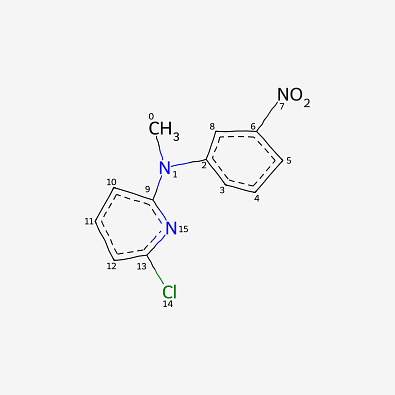 CN(c1cccc([N+](=O)[O-])c1)c1cccc(Cl)n1